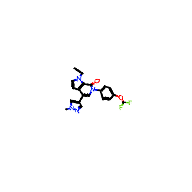 CCn1ccc2c(-c3cnn(C)c3)cn(-c3ccc(OC(F)F)cc3)c(=O)c21